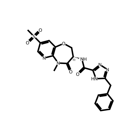 CN1C(=O)[C@@H](NC(=O)c2nnc(Cc3ccccc3)[nH]2)COc2cc(S(C)(=O)=O)cnc21